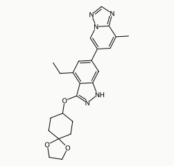 CCc1cc(-c2cc(C)c3ncnn3c2)cc2[nH]nc(OC3CCC4(CC3)OCCO4)c12